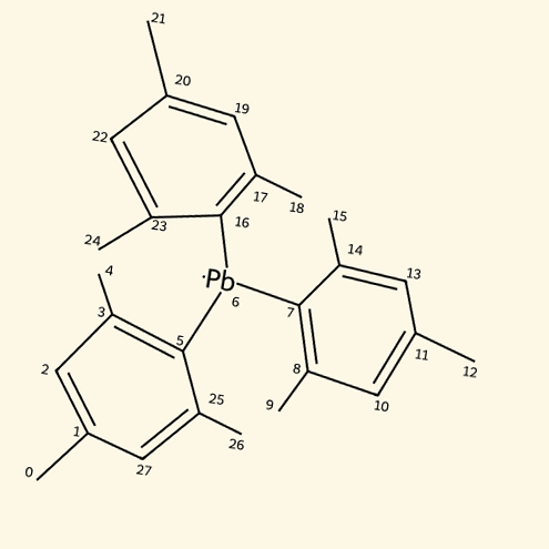 Cc1cc(C)[c]([Pb]([c]2c(C)cc(C)cc2C)[c]2c(C)cc(C)cc2C)c(C)c1